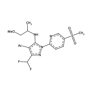 COCC(C)Nc1c(C(C)=O)c(C(F)F)nn1-c1ccc(S(C)(=O)=O)cn1